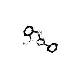 COc1ccccc1NC1=NC(c2ccccc2)CS1